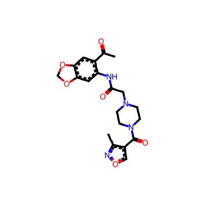 CC(=O)c1cc2c(cc1NC(=O)CN1CCN(C(=O)c3conc3C)CC1)OCO2